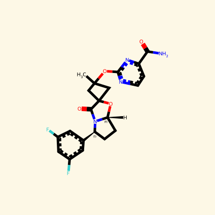 CC1(Oc2nccc(C(N)=O)n2)CC2(C1)O[C@@H]1CC[C@@H](c3cc(F)cc(F)c3)N1C2=O